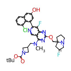 CN(CC1CN(C(=O)OC(C)(C)C)C1)c1nc(OC[C@@]23CCCN2C[C@H](F)C3)nc2c(F)c(-c3cc(O)cc4cccc(Cl)c34)ncc12